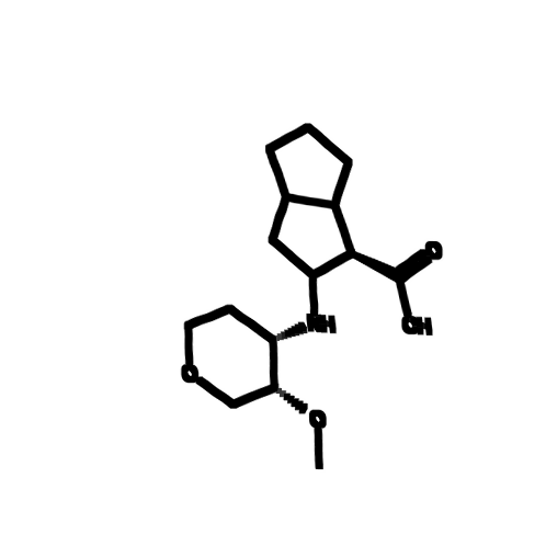 CO[C@@H]1COCC[C@@H]1NC1CC2CCCC2[C@H]1C(=O)O